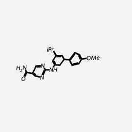 COc1ccc(C2C=C(C(C)C)C=C(Nc3ncc(C(N)=O)cn3)C2)cc1